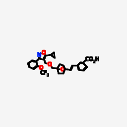 O=C(O)c1cccc(C=CC23CCC(COCc4c(-c5ccccc5OC(F)(F)F)noc4C4CC4)(CC2)CO3)c1